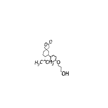 C=C(C)[C@@H]1CC[C@]2(COC(=O)C2)C[C@H]1c1ccc(OCCCO)cc1